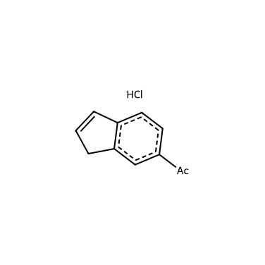 CC(=O)c1ccc2c(c1)CC=C2.Cl